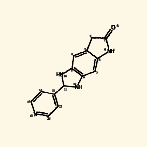 O=C1Cc2cc3c(cc2N1)NC(c1ccncc1)N3